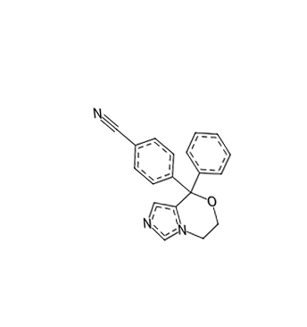 N#Cc1ccc(C2(c3ccccc3)OCCn3cncc32)cc1